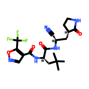 CC(C)(C)C[C@H](NC(=O)c1cnoc1C(F)(F)F)C(=O)N[C@H](C#N)C[C@@H]1CCNC1=O